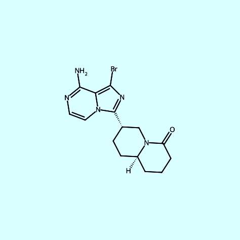 Nc1nccn2c([C@H]3CC[C@@H]4CCCC(=O)N4C3)nc(Br)c12